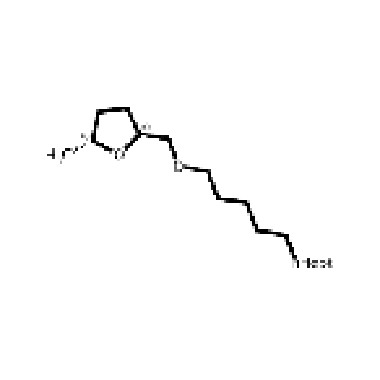 CCCCCCCCCCCCOC[C@@H]1CC[C@@H](C)O1